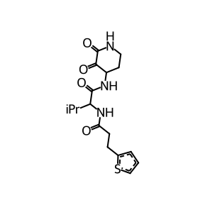 CC(C)C(NC(=O)CCc1cccs1)C(=O)NC1CCNC(=O)C1=O